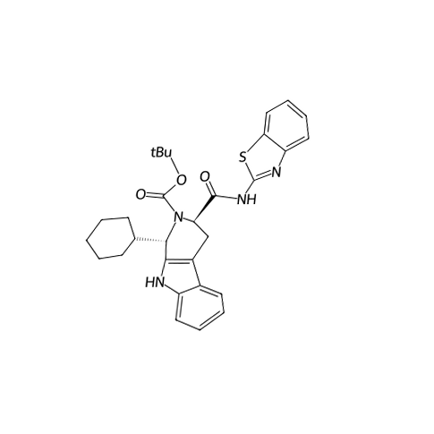 CC(C)(C)OC(=O)N1[C@@H](C(=O)Nc2nc3ccccc3s2)Cc2c([nH]c3ccccc23)[C@@H]1C1CCCCC1